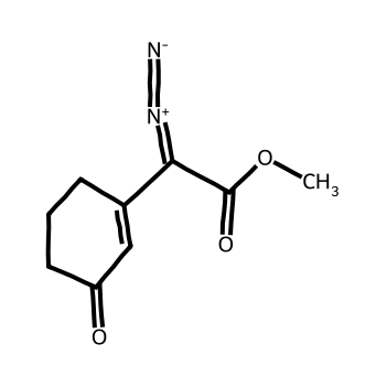 COC(=O)C(=[N+]=[N-])C1=CC(=O)CCC1